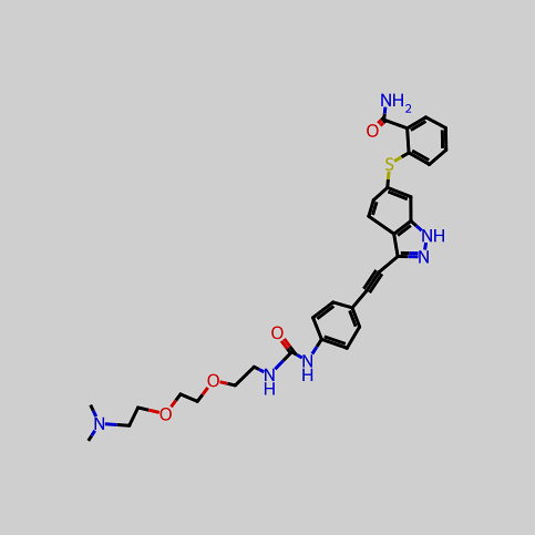 CN(C)CCOCCOCCNC(=O)Nc1ccc(C#Cc2n[nH]c3cc(Sc4ccccc4C(N)=O)ccc23)cc1